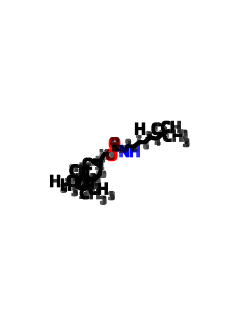 CC(C)(C)CCCCCCNC(=O)OCC1C2CC/C(C(C)(C)C)=C(/C(C)(C)C)CCC21